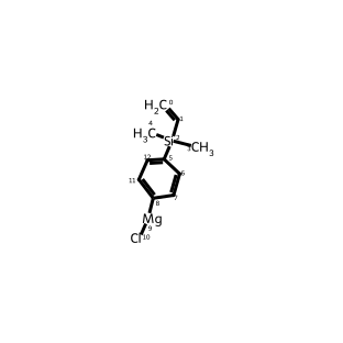 C=C[Si](C)(C)c1cc[c]([Mg][Cl])cc1